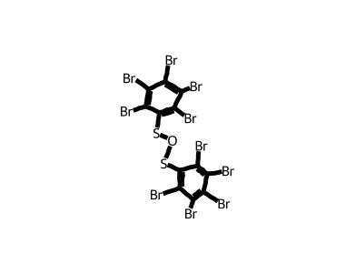 Brc1c(Br)c(Br)c(SOSc2c(Br)c(Br)c(Br)c(Br)c2Br)c(Br)c1Br